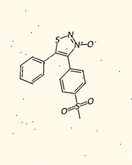 CS(=O)(=O)c1ccc(-c2c(-c3ccccc3)sn[n+]2[O-])cc1